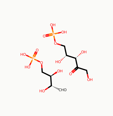 O=C(CO)[C@@H](O)[C@H](O)COP(=O)(O)O.O=C[C@H](O)[C@H](O)COP(=O)(O)O